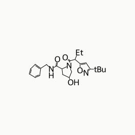 CCC(C(=O)N1CC(O)CC1C(=O)NCc1ccccc1)c1cc(C(C)(C)C)no1